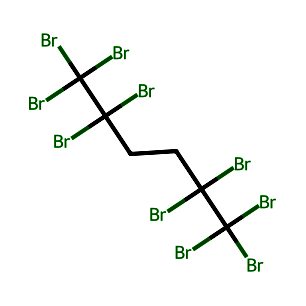 BrC(Br)(Br)C(Br)(Br)CCC(Br)(Br)C(Br)(Br)Br